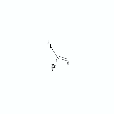 C=CI.[Zn]